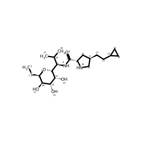 CS[C@H]1O[C@H]([C@H](NC(=O)[C@@H]2C[C@@H](CCC3CC3)CN2)C(C)C)[C@H](O)[C@H](O)[C@H]1O